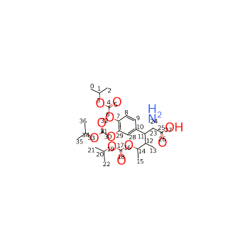 CC(C)OC(=O)Oc1ccc(C(C(C)C(C)OC(=O)OC(C)C)[C@H](N)C(=O)O)cc1OC(=O)OC(C)C